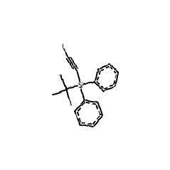 CC(C)(C)[Si](C#CI)(c1ccccc1)c1ccccc1